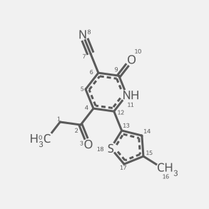 CCC(=O)c1cc(C#N)c(=O)[nH]c1-c1cc(C)cs1